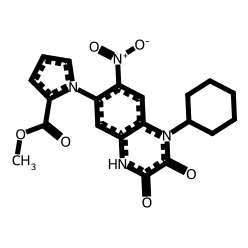 COC(=O)c1cccn1-c1cc2[nH]c(=O)c(=O)n(C3CCCCC3)c2cc1[N+](=O)[O-]